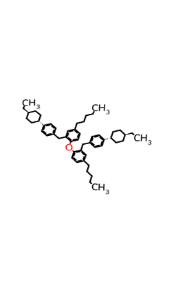 CCCCCc1ccc(Oc2ccc(CCCCC)cc2Cc2ccc([C@H]3CC[C@H](CC)CC3)cc2)c(Cc2ccc([C@H]3CC[C@H](CC)CC3)cc2)c1